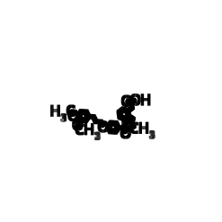 COc1ccc(CCCOc2ccc(C(=O)n3c(C)cc4c(CC(=O)O)cccc43)cc2)cc1OC